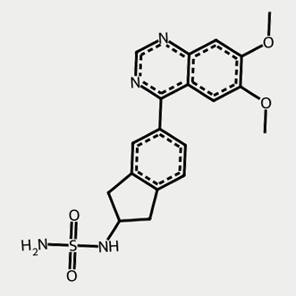 COc1cc2ncnc(-c3ccc4c(c3)CC(NS(N)(=O)=O)C4)c2cc1OC